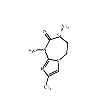 Cc1cn2c(n1)N(C)C(=O)[C@H](N)CC2